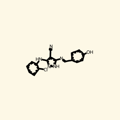 N#Cc1c(Nc2ccccc2Cl)n[nH]c1/N=C/c1ccc(O)cc1